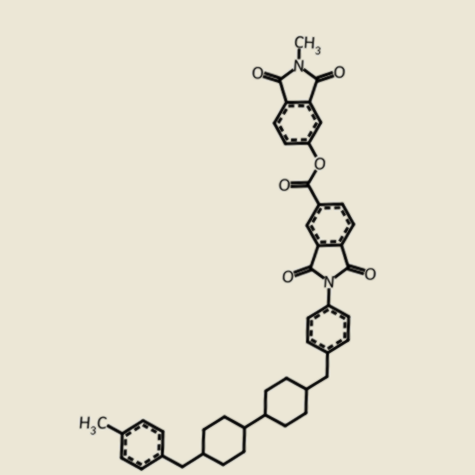 Cc1ccc(CC2CCC(C3CCC(Cc4ccc(N5C(=O)c6ccc(C(=O)Oc7ccc8c(c7)C(=O)N(C)C8=O)cc6C5=O)cc4)CC3)CC2)cc1